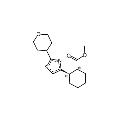 COC(=O)[C@@H]1CCCC[C@H]1c1csc(C2CCOCC2)n1